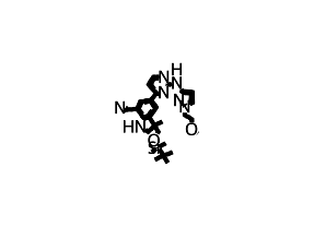 COCCn1ccc(Nc2nccc(-c3cc(C#N)c4c(c3)C(C)(CO[Si](C)(C)C(C)(C)C)CN4)n2)n1